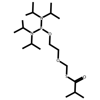 CC(C)C(=O)SCOCCOP(N(C(C)C)C(C)C)N(C(C)C)C(C)C